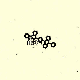 OB(O)c1c(-c2ccc(-c3c4ccccc4c(-c4ccccc4)c4ccccc34)cc2)c2ccccc2c2c1oc1ccccc12